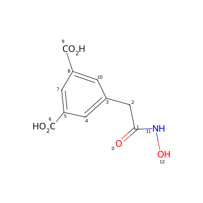 O=C(Cc1cc(C(=O)O)cc(C(=O)O)c1)NO